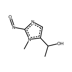 CC(O)c1cnc(N=O)n1C